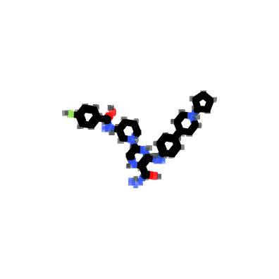 NC(=O)c1ncc(N2CCCC(NC(=O)c3ccc(F)cc3)C2)nc1Nc1ccc(C2CCN(C3CCCC3)CC2)cc1